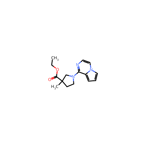 CCOC(=O)C1(C)CCN(c2nccn3cccc23)C1